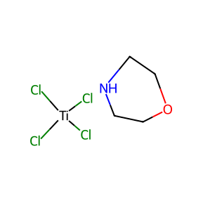 C1COCCN1.[Cl][Ti]([Cl])([Cl])[Cl]